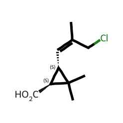 CC(=C[C@H]1[C@H](C(=O)O)C1(C)C)CCl